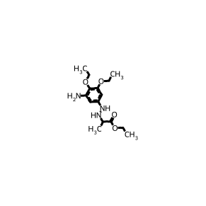 CCOC(=O)C(C)NNc1cc(N)c(OCC)c(OCC)c1